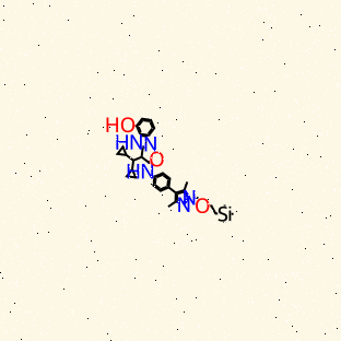 Cc1nn(COCC[Si](C)(C)C)c(C)c1-c1ccc(NC(=O)C(c2nc3cccc(O)c3[nH]2)C(C2CC2)C2CC2)cc1